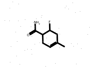 CC1=CCC(C(N)=O)C(F)C1